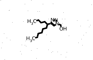 CCCCCCC(CCCC)c1cn(CO)nn1